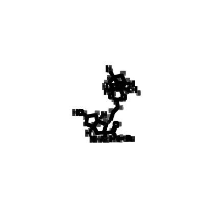 CC(=O)N[C@@]1(C(=O)NC(C)(C)C)C[C@H]2C[C@@H](O)C[C@H]2[C@@H]1CCCB1O[C@@H]2C[C@@H]3C[C@@H](C3(C)C)[C@]2(C)O1